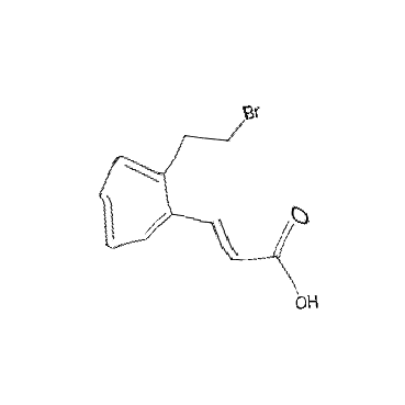 O=C(O)/C=C/c1ccccc1CCBr